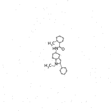 CCn1c(-c2ccccc2)cc2cc(NC(=O)c3ccccc3C)ccc21